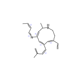 C=C\C1=C/C(/C=C\C(=C)C)=C\C(\N=C/C=C\C)=C/C(C)BCC1